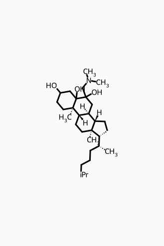 CC(C)CCC[C@@H](C)[C@H]1CC[C@H]2[C@@H]3CC(O)(CN(C)C)C4(O)CC(O)CC[C@]4(C)[C@H]3CC[C@]12C